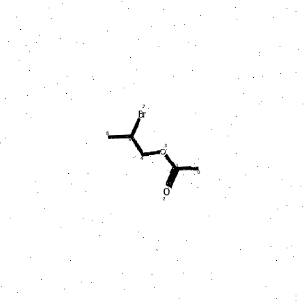 CC(=O)OCC(C)Br